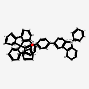 C1=Cc2c(c3cc(-c4ccc(N(c5ccccc5)c5cccc6c5C5(c7ccccc7-c7ccccc75)c5ccccc5-6)cc4)ccc3n2-c2ccccc2)CC1